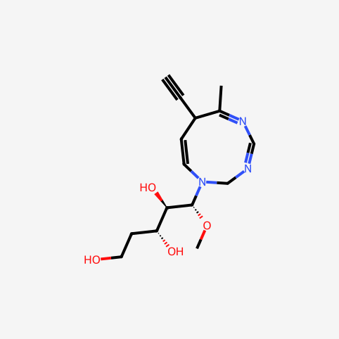 C#CC1/C=C\N([C@H](OC)[C@H](O)[C@H](O)CCO)C/N=C\N=C/1C